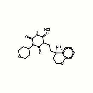 Cl.N[C@@]1(CCC2C(=O)NC(=O)N(C3CCOCC3)C2=O)CCOc2ccccc21